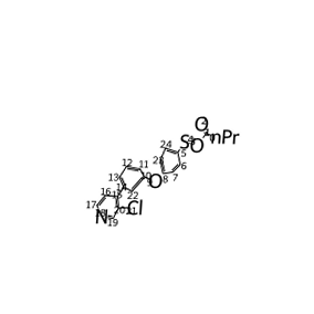 CCCC(=O)OSc1ccc(Oc2cccc(-c3ccncc3Cl)c2)cc1